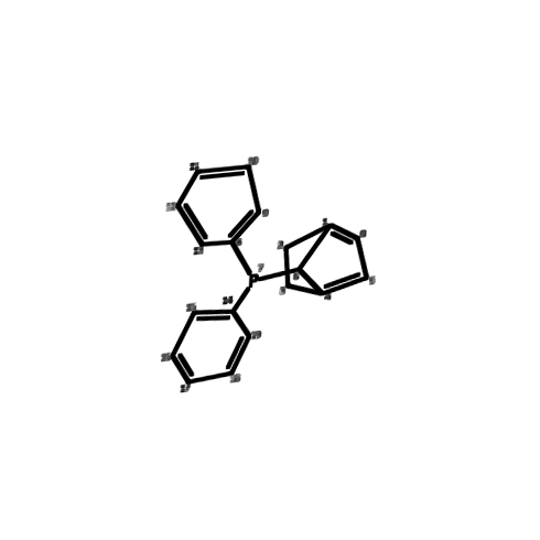 C1=C2CCC(=C1)C2P(c1ccccc1)c1ccccc1